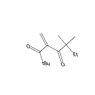 C=C(C(=O)C(C)(C)C)C(=O)C(C)(C)CC